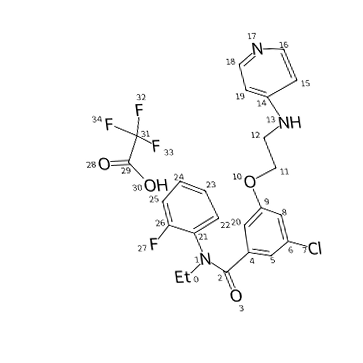 CCN(C(=O)c1cc(Cl)cc(OCCNc2ccncc2)c1)c1ccccc1F.O=C(O)C(F)(F)F